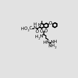 Cc1nc(C(=O)NCC(=O)O)c(OC(=O)[C@@H](N)CCCNC(=N)N)c2ccc(Oc3ccccc3)cc12